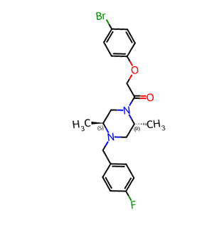 C[C@@H]1CN(Cc2ccc(F)cc2)[C@@H](C)CN1C(=O)COc1ccc(Br)cc1